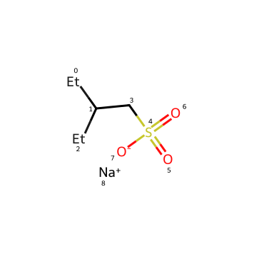 CCC(CC)CS(=O)(=O)[O-].[Na+]